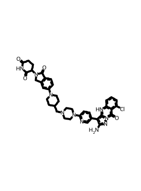 Nc1nn2c(=O)c3c(Cl)cccc3[nH]c2c1-c1ccc(N2CCN(CC3CCN(c4ccc5c(c4)CN(C4CCC(=O)NC4=O)C5=O)CC3)CC2)nc1